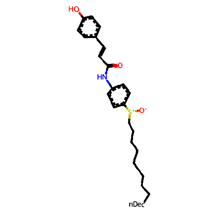 CCCCCCCCCCCCCCCCCC[S+]([O-])c1ccc(NC(=O)/C=C/c2ccc(O)cc2)cc1